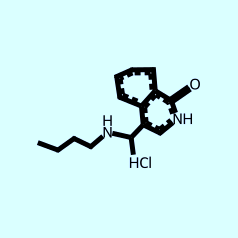 CCCCNC(C)c1c[nH]c(=O)c2ccccc12.Cl